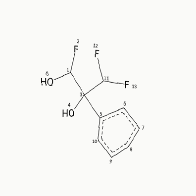 OC(F)C(O)(c1ccccc1)C(F)F